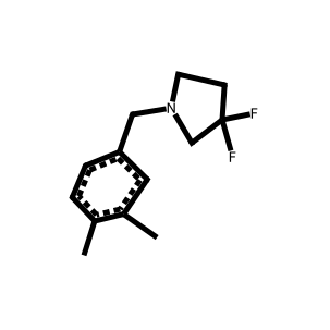 Cc1ccc(CN2CCC(F)(F)C2)cc1C